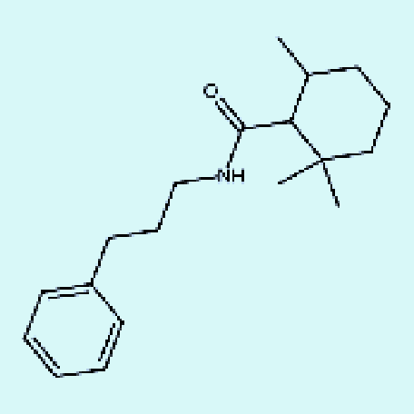 CC1CCCC(C)(C)C1C(=O)NCCCc1ccccc1